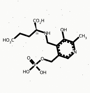 Cc1ncc(COP(=O)(O)O)c(CN[C@@H](CCC(=O)O)C(=O)O)c1O